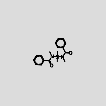 CN(C(=O)c1ccccc1)[Si](C)(C)N(C)C(=O)c1ccccc1